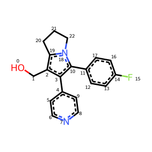 OCc1c(-c2ccncc2)c(-c2ccc(F)cc2)n2c1CCC2